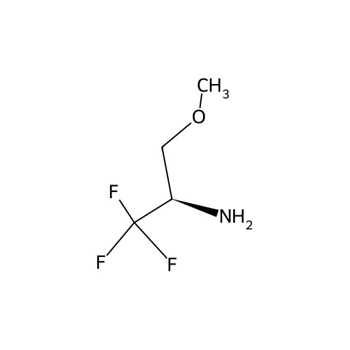 COC[C@@H](N)C(F)(F)F